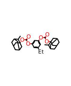 CCc1cc(OC(=O)OC23CC4CC(CC(C4)C2C)C3)cc(OC(=O)OC23CC4CC(CC(C4)C2C)C3)c1